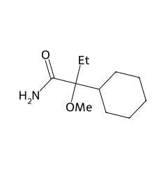 CCC(OC)(C(N)=O)C1CCCCC1